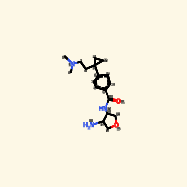 CN(C)CCC1(c2ccc(C(=O)NC3COCC3N)cc2)CC1